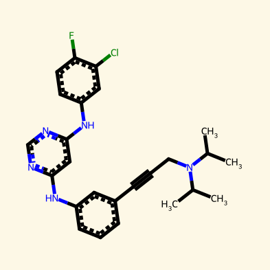 CC(C)N(CC#Cc1cccc(Nc2cc(Nc3ccc(F)c(Cl)c3)ncn2)c1)C(C)C